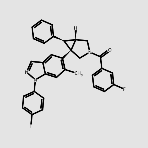 Cc1cc2c(cnn2-c2ccc(F)cc2)cc1[C@]12CN(C(=O)c3cccc(F)c3)C[C@H]1[C@@H]2c1ccccc1